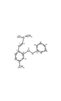 Cc1ccc(/C=C/[S+](C)[O-])c(OCc2ccccc2)c1